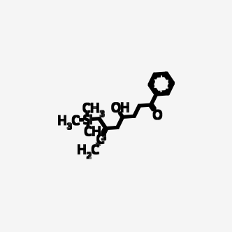 C=C=C(CC(O)CCC(=O)c1ccccc1)C[Si](C)(C)C